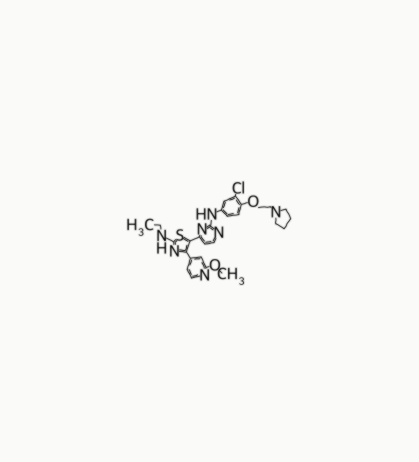 CCNc1nc(-c2ccnc(OC)c2)c(-c2ccnc(Nc3ccc(OCCN4CCCC4)c(Cl)c3)n2)s1